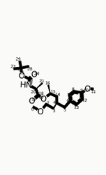 COCC[C@H](Cc1ccc(OC)cc1)C[C@H](C)OC(=O)[C@H](C)NC(=O)OC(C)(C)C